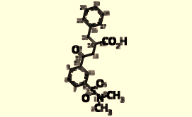 CN(C)S(=O)(=O)c1cccc(C(=O)CC(Cc2ccccc2)C(=O)O)c1